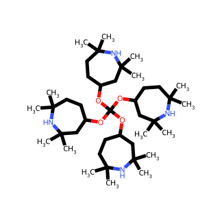 CC1(C)CCC(OC(OC2CCC(C)(C)NC(C)(C)C2)(OC2CCC(C)(C)NC(C)(C)C2)OC2CCC(C)(C)NC(C)(C)C2)CC(C)(C)N1